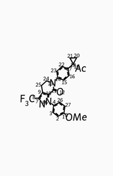 COc1ccc(-n2nc(C(F)(F)F)c3c2C(=O)N(c2ccc(C4(C(C)=O)CC4)cc2)CC3)cc1